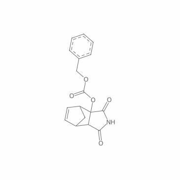 O=C(OCc1ccccc1)OC12C(=O)NC(=O)C1C1C=CC2C1